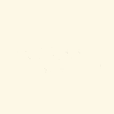 Cc1ccc2oc(C(=O)Nc3ccc(Cl)cn3)c(N)c2n1